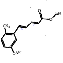 CCC(C)OC(=O)/C=C/C=C/c1cc(OC)ccc1C